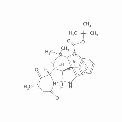 CN1CC(=O)N2[C@H](C1=O)[C@H]1O[Si](C)(C)c3c(c4ccccc4n3C(=O)OC(C)(C)C)[C@]13c1ccccc1N[C@H]23